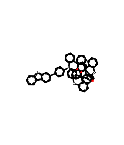 c1ccc2c(c1)Oc1ccccc1C21c2ccccc2-c2ccc(-c3ccccc3N(c3ccc(-c4ccc5c(c4)sc4ccccc45)cc3)c3cccc4c3-c3ccccc3C43c4ccccc4Oc4ccccc43)cc21